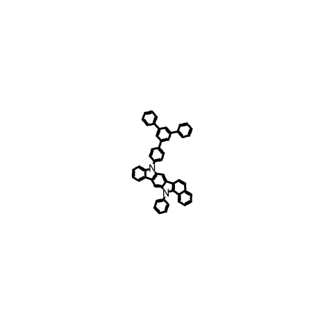 c1ccc(-c2cc(-c3ccccc3)cc(-c3ccc(-n4c5ccccc5c5cc6c(cc54)c4ccc5ccccc5c4n6-c4ccccc4)cc3)c2)cc1